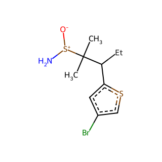 CCC(c1cc(Br)cs1)C(C)(C)[S+](N)[O-]